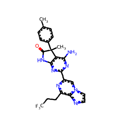 Cc1ccc(C2(C)C(=O)Nc3nc(-c4cn5ccnc5c(CCC(F)(F)F)n4)nc(N)c32)cc1